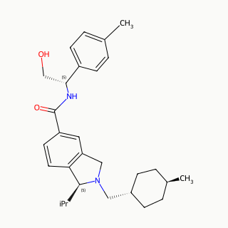 Cc1ccc([C@@H](CO)NC(=O)c2ccc3c(c2)CN(C[C@H]2CC[C@H](C)CC2)[C@H]3C(C)C)cc1